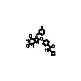 Cc1cccc(Cn2c(Oc3ccc(C(=O)NC4CCC4)cc3)nc3c2c(=O)n(C)c(=O)n3C)c1